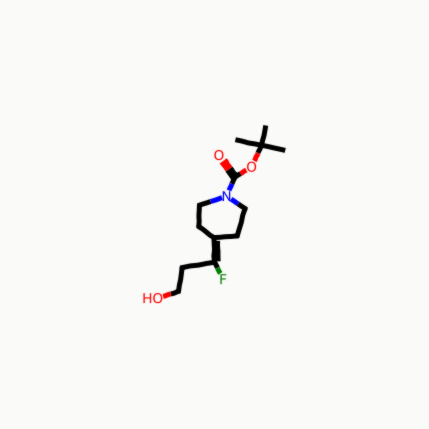 CC(C)(C)OC(=O)N1CCC(=C(F)CCO)CC1